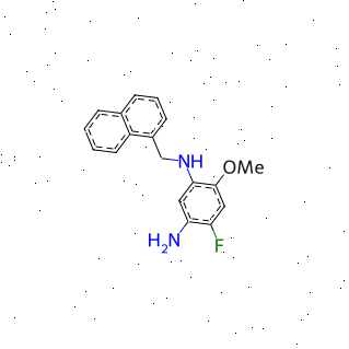 COc1cc(F)c(N)cc1NCc1cccc2ccccc12